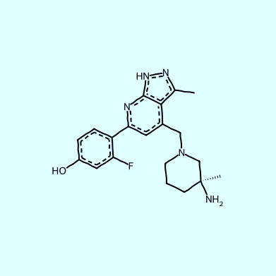 Cc1n[nH]c2nc(-c3ccc(O)cc3F)cc(CN3CCC[C@](C)(N)C3)c12